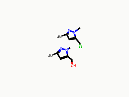 Cn1nc(C(C)(C)C)cc1CCl.Cn1nc(C(C)(C)C)cc1CO